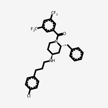 O=C(c1cc(C(F)(F)F)cc(C(F)(F)F)c1)N1CC[C@H](NCCCc2ccc(Cl)cc2)C[C@H]1Cc1ccccc1